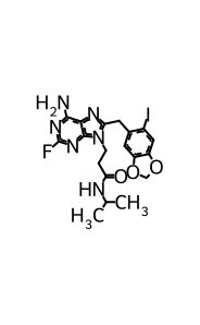 CC(C)NC(=O)CCn1c(Cc2cc3c(cc2I)OCO3)nc2c(N)nc(F)nc21